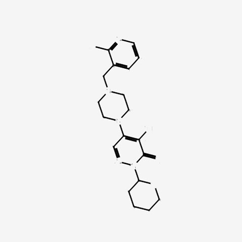 CCc1ncccc1CN1CCN(c2cnn(C3CCCCO3)c(=O)c2Cl)CC1